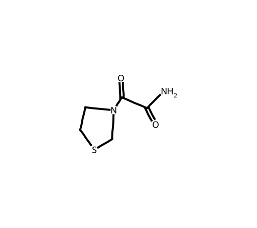 NC(=O)C(=O)N1CCSC1